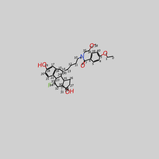 CCOc1ccc(C(=O)N(CCCC[C@@H]2Cc3cc(O)ccc3C3C2C2CC[C@H](O)[C@@]2(C)C[C@@H]3F)CCOC)cc1